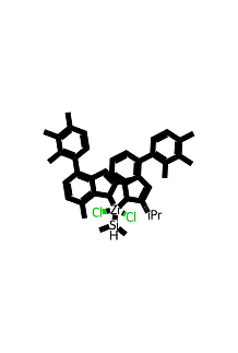 CC1=Cc2c(-c3ccc(C)c(C)c3C)ccc(C)c2[CH]1[Zr]([Cl])([Cl])([CH]1C(C(C)C)=Cc2c(-c3ccc(C)c(C)c3C)cccc21)[SiH](C)C